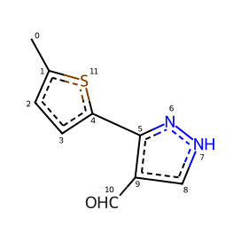 Cc1ccc(-c2n[nH]cc2C=O)s1